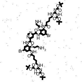 CC(C)(C)OC(=O)/N=C(/NCCCCC(=O)Nc1cc(Br)cc(NC(=O)c2cc(C(=O)Nc3cc(Br)cc(NC(=O)CCCCN/C(=N/C(=O)OC(C)(C)C)NC(=O)OC(C)(C)C)c3SCCN)ncn2)c1SCCN)NC(=O)OC(C)(C)C